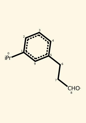 CC(C)c1cccc(CC[C]=O)c1